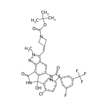 Cn1nc2c3c(c(NC(=O)c4cc(F)cc(C(F)(F)F)c4)cc2c1C=C1CN(C(=O)OC(C)(C)C)C1)C(O)(c1cc(F)ccc1Cl)NC3=O